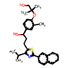 Cc1cc(C(O)CCc2sc(-c3ccc4ccccc4c3)nc2C(C)C)ccc1OC(C)(C)CO